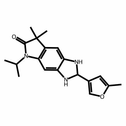 Cc1cc(C2Nc3cc4c(cc3N2)C(C)(C)C(=O)N4C(C)C)co1